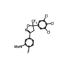 CNc1cc(C2=NOC(c3cc(Cl)c(Cl)c(Cl)c3)(C(F)(F)F)C2)ccc1F